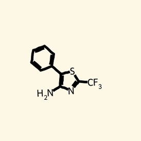 Nc1nc(C(F)(F)F)sc1-c1ccccc1